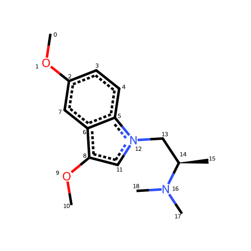 COc1ccc2c(c1)c(OC)cn2C[C@@H](C)N(C)C